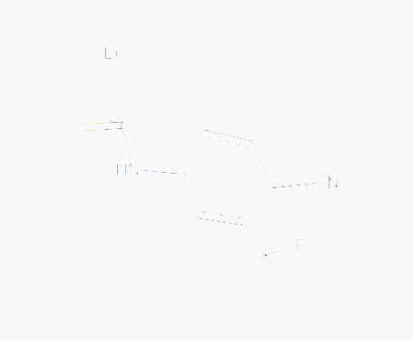 CCSC(=S)Nc1ccc(C#N)c(C(C)(F)F)c1